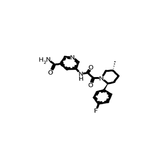 C[C@@H]1CC[C@@H](c2ccc(F)cc2)N(C(=O)C(=O)Nc2cncc(C(N)=O)c2)C1